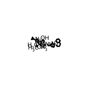 CC(C)(C)[C@@H](C(=O)N1C[C@H](O)C[C@H]1C(=O)NCc1ccc(N2CCCc3ccccc32)nc1)n1cc(C2CC2)nn1